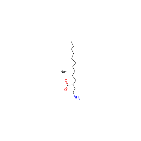 CCCCCCCCCCC(CCN)C(=O)[O-].[Na+]